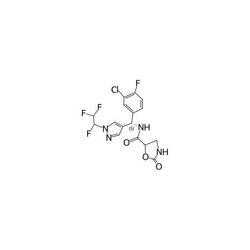 O=C1NCC(C(=O)N[C@@H](c2ccc(F)c(Cl)c2)c2cnn(C(F)C(F)F)c2)O1